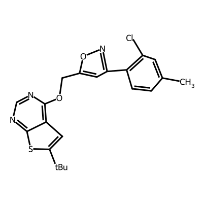 Cc1ccc(-c2cc(COc3ncnc4sc(C(C)(C)C)cc34)on2)c(Cl)c1